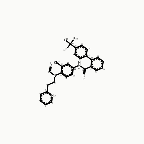 O=CN(CCc1ccccn1)c1ccc(NC(=O)c2ccccc2-c2ccc(C(F)(F)F)cc2)cc1Cl